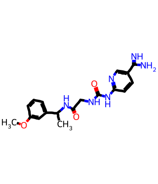 COc1cccc(C(C)NC(=O)CNC(=O)Nc2ccc(C(=N)N)cn2)c1